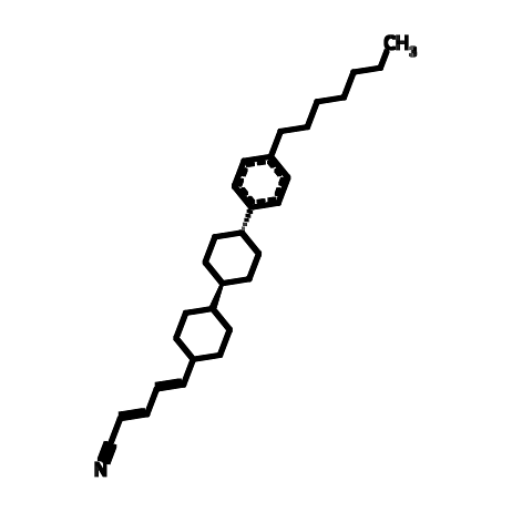 CCCCCCCc1ccc([C@H]2CC[C@H](C3CCC(/C=C/C=C/C#N)CC3)CC2)cc1